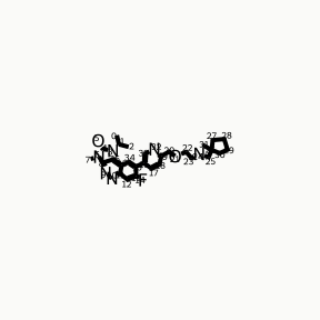 CC(C)n1c(=O)n(C)c2nnc3cc(F)c(-c4ccc(COCCN5CC6(CCCC6)C5)nc4)cc3c21